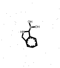 OB(O)C1NCc2ccccc21